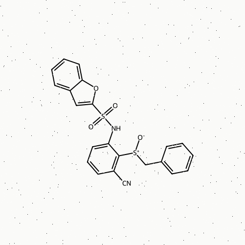 N#Cc1cccc(NS(=O)(=O)c2cc3ccccc3o2)c1[S+]([O-])Cc1ccccc1